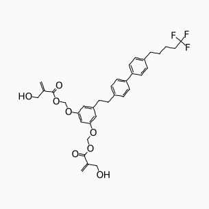 C=C(CO)C(=O)OCOc1cc(CCc2ccc(-c3ccc(CCCCC(F)(F)F)cc3)cc2)cc(OCOC(=O)C(=C)CO)c1